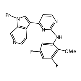 COc1c(F)cc(F)cc1Nc1nccc(-c2cn(C(C)C)c3cnccc23)n1